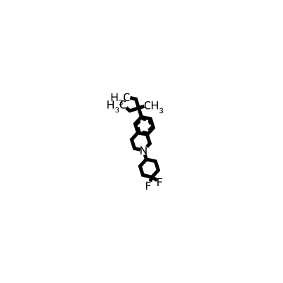 CCC(C)(CC)c1ccc2c(c1)CCN(C1CCC(F)(F)CC1)C2